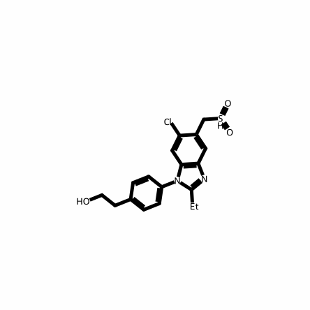 CCc1nc2cc(C[SH](=O)=O)c(Cl)cc2n1-c1ccc(CCO)cc1